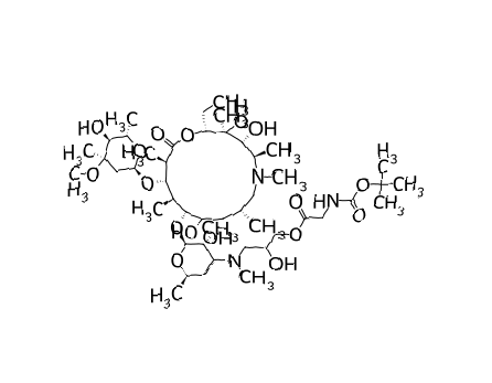 CC[C@H]1OC(=O)[C@H](C)[C@@H](O[C@H]2C[C@@](C)(OC)[C@@H](O)[C@H](C)O2)[C@H](C)[C@@H](O[C@@H]2O[C@H](C)CC(N(C)CC(O)COC(=O)CNC(=O)OC(C)(C)C)[C@H]2O)[C@](C)(O)C[C@@H](C)CN(C)[C@H](C)[C@@H](O)[C@]1(C)O